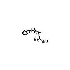 CCCCC(CC)COC(=O)N=NC(=O)OCc1ccccc1